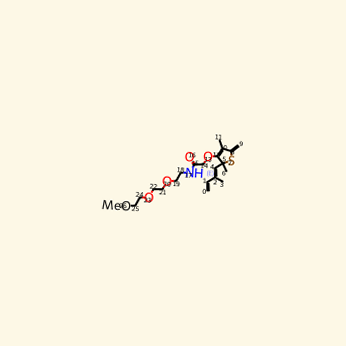 C=C/C(C)=C/C1(C)SC(=C)C(C)=C1OCC(=O)NCCOCCOCCOC